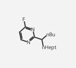 CCCCCCCC(CCCC)c1nccc(F)n1